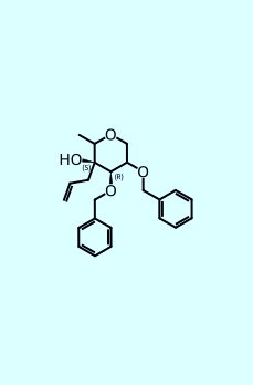 C=CC[C@]1(O)C(C)OCC(OCc2ccccc2)[C@H]1OCc1ccccc1